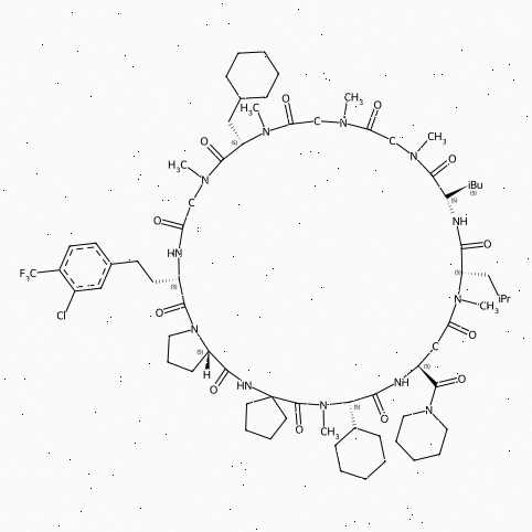 CC[C@H](C)[C@@H]1NC(=O)[C@H](CC(C)C)N(C)C(=O)C[C@@H](C(=O)N2CCCCC2)NC(=O)[C@H](C2CCCCC2)N(C)C(=O)C2(CCCC2)NC(=O)[C@@H]2CCCN2C(=O)[C@H](CCc2ccc(C(F)(F)F)c(Cl)c2)NC(=O)CN(C)C(=O)[C@H](CC2CCCCC2)N(C)C(=O)CN(C)C(=O)CN(C)C1=O